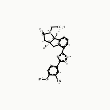 CC(C)Oc1ccc(-c2nc(-c3cccc4c3C[C@H]3CC(=O)N(CC(=O)O)[C@@H]43)no2)cc1C#N